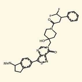 CNC1CCc2cc(-c3snc4c(=O)n(CC5(O)CCN(C(=O)CC(c6ccccc6)C(F)F)CC5)cnc34)ccc21